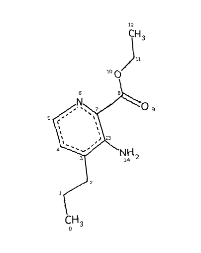 CCCc1ccnc(C(=O)OCC)c1N